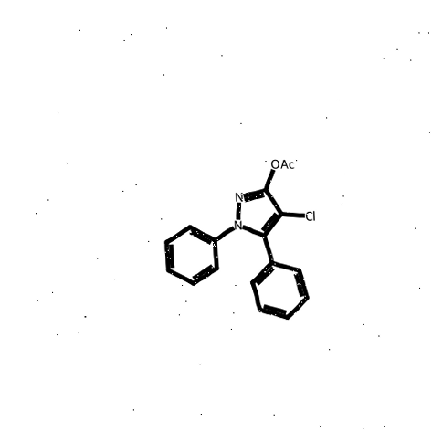 CC(=O)Oc1nn(-c2ccccc2)c(-c2ccccc2)c1Cl